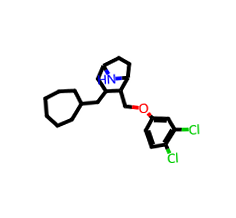 Clc1ccc(OCC2C(CC3CCCCCC3)CC3CCC2N3)cc1Cl